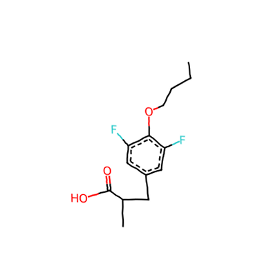 CCCCOc1c(F)cc(CC(C)C(=O)O)cc1F